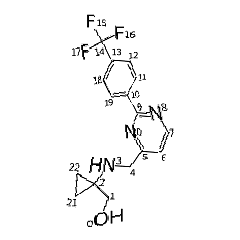 OCC1(NCc2ccnc(-c3ccc(C(F)(F)F)cc3)n2)CC1